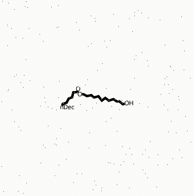 CCCCCCCCCCCCCCCC(=O)OCCCCCCCCCCCCO